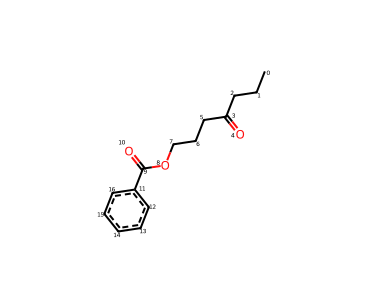 CCCC(=O)CCCOC(=O)c1ccccc1